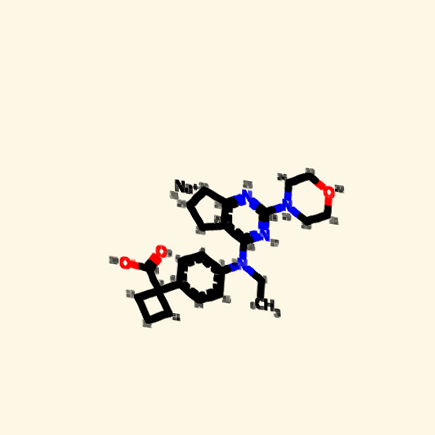 CCN(c1ccc(C2(C(=O)[O-])CCC2)cc1)c1nc(N2CCOCC2)nc2c1CCC2.[Na+]